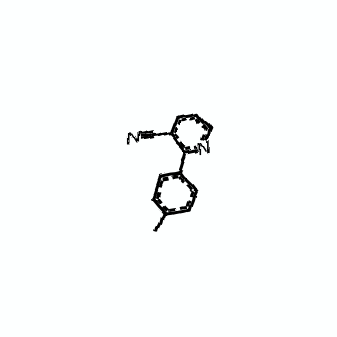 Cc1ccc(-c2ncccc2C#N)cc1